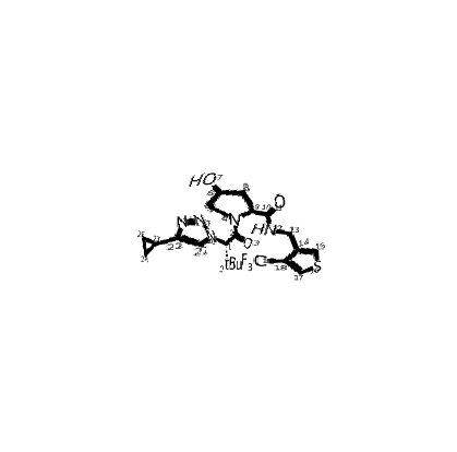 CC(C)(C)[C@@H](C(=O)N1CC(O)CC1C(=O)NCc1cscc1C(F)(F)F)n1cc(C2CC2)nn1